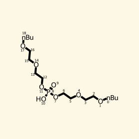 CCCCOCCOCCOP(=O)(O)OCCOCCOCCCC